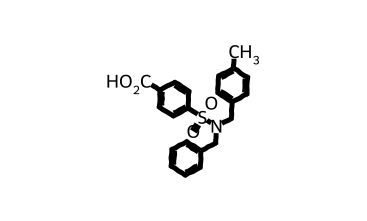 Cc1ccc(CN(Cc2ccccc2)S(=O)(=O)c2ccc(C(=O)O)cc2)cc1